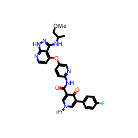 COCC(C)Nc1n[nH]c2nccc(Oc3ccc(NC(=O)c4cn(C(C)C)cc(-c5ccc(F)cc5)c4=O)nc3)c12